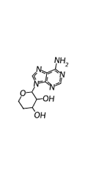 Nc1ncnc2c1ncn2C1OCCC(O)C1O